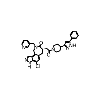 O=C(C[C@@H]1Cc2cc(Cl)c3[nH]ncc3c2CN(Cc2cccnc2)C1=O)N1CCC(c2cc(-c3ccccc3)[nH]n2)CC1